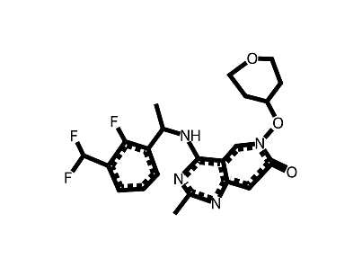 Cc1nc(NC(C)c2cccc(C(F)F)c2F)c2cn(OC3CCOCC3)c(=O)cc2n1